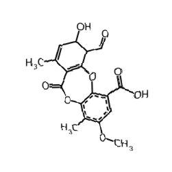 COc1cc(C(=O)O)c2c(c1C)OC(=O)C1=C(O2)C(C=O)C(O)C=C1C